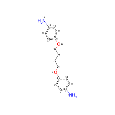 Nc1ccc(OCCCCOc2ccc(N)cc2)cc1